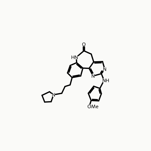 COc1ccc(Nc2ncc3c(n2)-c2cc(CCCN4CCCC4)ccc2NC(=O)C3)cc1